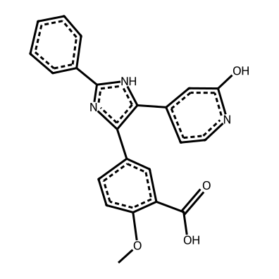 COc1ccc(-c2nc(-c3ccccc3)[nH]c2-c2ccnc(O)c2)cc1C(=O)O